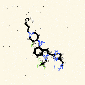 CCCCN1CCC(Nc2cccc3c2cc(C2=NCC(CN)=N2)n3CC(F)(F)F)C(F)C1